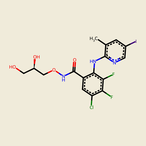 Cc1cc(I)cnc1Nc1c(C(=O)NOC[C@H](O)CO)cc(Cl)c(F)c1F